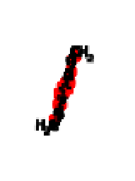 C=CC(=O)Cc1ccc(CCC(=O)Cc2ccc(C(=O)O[C@@H]3COC4C3OC[C@H]4OC(=O)c3ccc(OC(=O)CCc4ccc(CC(=O)C=C)cc4)cc3)cc2)cc1